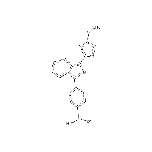 C[S+]([O-])c1ccc(-c2nn(-c3nc(OC=O)cs3)c3ccccc23)cc1